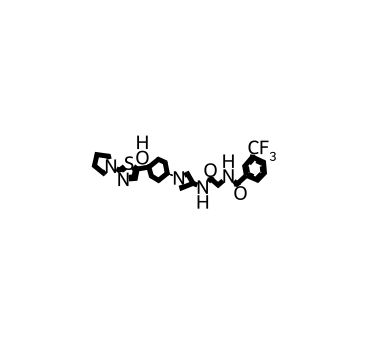 O=C(CNC(=O)c1cccc(C(F)(F)F)c1)NC1CN([C@H]2CC[C@@](O)(c3cnc(N4CCCC4)s3)CC2)C1